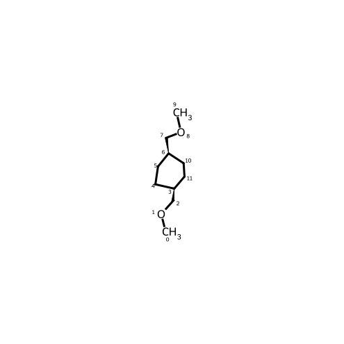 COC[C@H]1CC[C@@H](COC)CC1